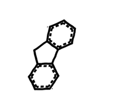 [c]1ccc2c(c1)-c1ccc[c]c1C2